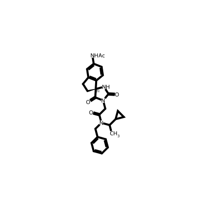 CC(=O)Nc1ccc2c(c1)CC[C@]21NC(=O)N(CC(=O)N(Cc2ccccc2)C(C)C2CC2)C1=O